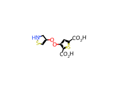 O=C(O)c1cc(OOC2=CSNC2)c(C(=O)O)s1